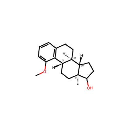 COc1cccc2c1[C@H]1CC[C@]3(C)C(O)CC[C@H]3[C@@H]1CC2